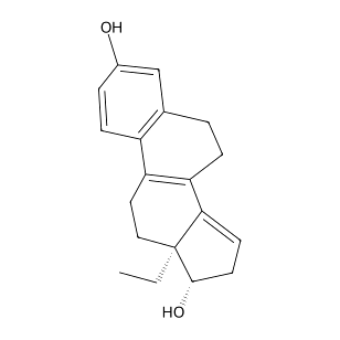 CC[C@]12CCC3=C(CCc4cc(O)ccc43)C1=CC[C@@H]2O